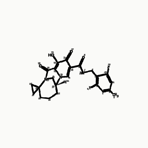 Cc1cc(F)c(CNC(=O)c2cn3c(c(O)c2=O)C(=O)N2C[C@@H]3CCCC23CC3)c(F)c1